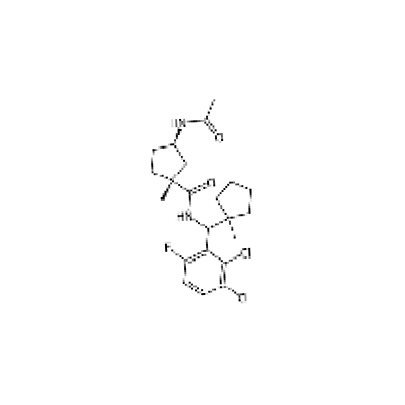 CC(=O)N[C@@H]1CC[C@@](C)(C(=O)NC(c2c(F)ccc(Cl)c2Cl)C2(C)CCCC2)C1